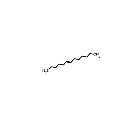 [CH2]CCCCC=CCCCCC[CH2]